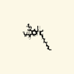 CCCCCCCCCCC(C)Nc1ccc(C(=O)OCC)c(C(=O)OCC)c1